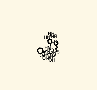 N=C(N)Nc1ccc(CNC(=O)N2CC3(C4CCCCCCC43)N(C(=O)O)CC2C2CN(C(=S)CCc3ccncc3)CCN2C(=O)O)cc1